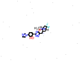 CO[C@@H]1/C(=C\c2cnc(-c3ccc(-n4ccnc4)cc3O)nn2)C[C@H]2N[C@@H]1CC2(F)F